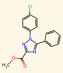 COC(=O)c1nc(-c2ccccc2)n(-c2ccc(Cl)cc2)n1